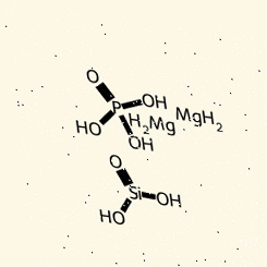 O=P(O)(O)O.O=[Si](O)O.[MgH2].[MgH2]